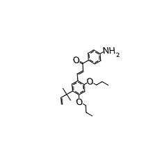 C=CC(C)(C)c1cc(C=CC(=O)c2ccc(N)cc2)c(OCCC)cc1OCCC